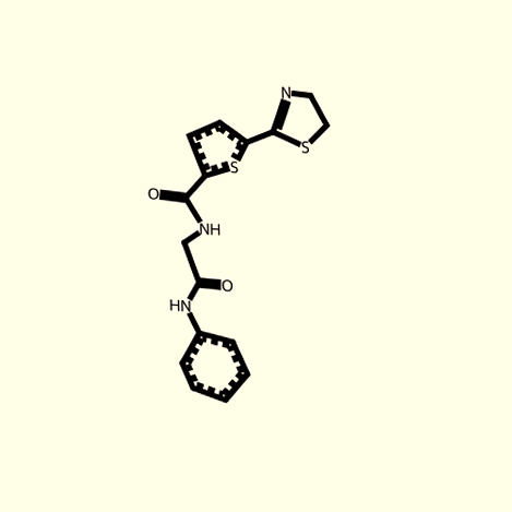 O=C(CNC(=O)c1ccc(C2=NCCS2)s1)Nc1ccccc1